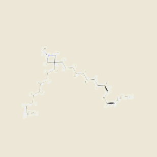 CCCCC/C=C\C/C=C\CCCCCCCCC1(CCCCCCCCCCCCCCCCCC)CN(C)C1